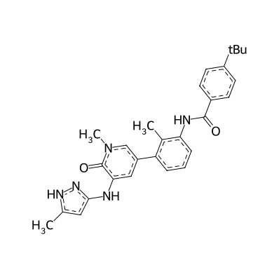 Cc1cc(Nc2cc(-c3cccc(NC(=O)c4ccc(C(C)(C)C)cc4)c3C)cn(C)c2=O)n[nH]1